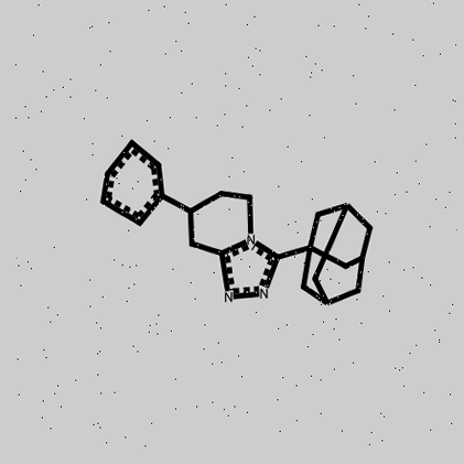 c1ccc(C2CCn3c(nnc3C34CC5CC(CC(C5)C3)C4)C2)cc1